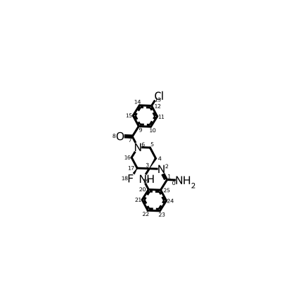 NC1=N[C@]2(CCN(C(=O)c3ccc(Cl)cc3)C[C@@H]2F)Nc2ccccc21